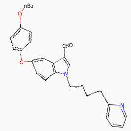 CCCCOc1ccc(Oc2ccc3c(c2)c(C=O)cn3CCCCc2ccccn2)cc1